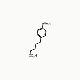 CCCCCCCc1ccc(CCCCC(=O)O)cc1